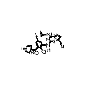 N#Cc1cc(Nc2nc(NC3CC3)c3ncc(C#N)n3n2)c(Cl)c(C(O)C2CCNCC2)c1